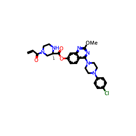 C=CC(=O)N1CCN[C@@](C)(C(=O)Oc2ccc3c(N4CCN(c5ccc(Cl)cc5)CC4)nc(OC)nc3c2)C1